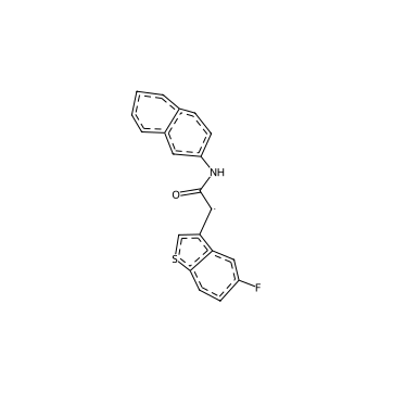 O=C([CH]c1csc2ccc(F)cc12)Nc1ccc2ccccc2c1